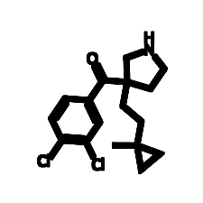 CC1(CCC2(C(=O)c3ccc(Cl)c(Cl)c3)CCNC2)CC1